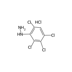 Cl.NNc1c(Cl)cc(Cl)c(Cl)c1Cl